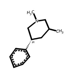 CC1C[C@H](c2ccccc2)CN(C)C1